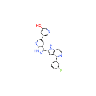 Oc1cncc(-c2cnc3[nH]nc(-c4cc5c(-c6cccc(F)c6)nccc5[nH]4)c3c2)c1